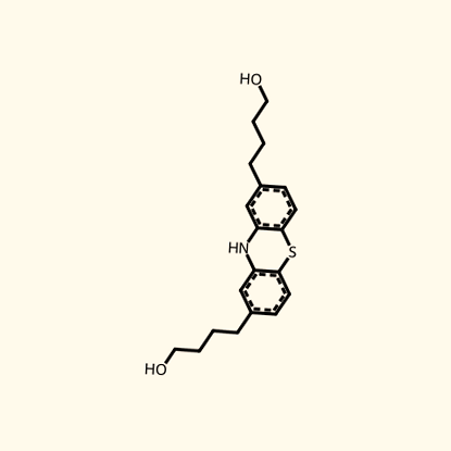 OCCCCc1ccc2c(c1)Nc1cc(CCCCO)ccc1S2